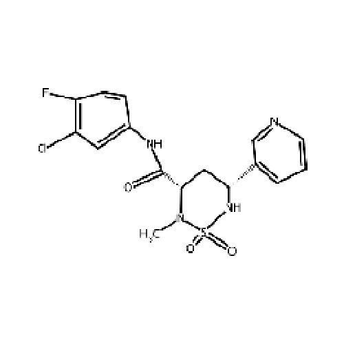 CN1[C@H](C(=O)Nc2ccc(F)c(Cl)c2)C[C@H](c2cccnc2)NS1(=O)=O